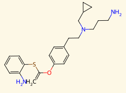 C=C(Oc1ccc(CCN(CCCN)CC2CC2)cc1)Sc1ccccc1N